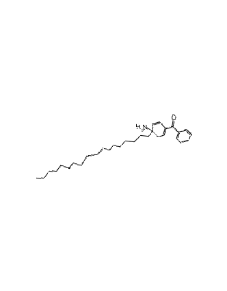 CCCCCCCCCCCCCCCCCCC1(N)C=CC(C(=O)c2ccccc2)=CC1